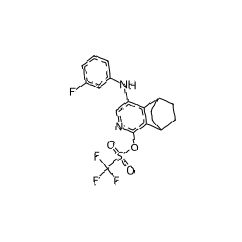 O=S(=O)(Oc1ncc(Nc2cccc(F)c2)c2c1C1CCC2CC1)C(F)(F)F